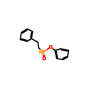 O=[PH](CCc1ccccc1)Oc1ccccc1